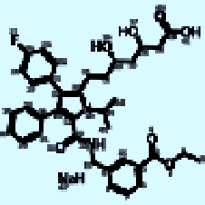 CCOC(=O)c1cccc(CNC(=O)c2c(-c3ccccc3)c(-c3ccc(F)cc3)c(CC[C@@H](O)C[C@@H](O)CC(=O)O)n2C(C)C)c1.[NaH]